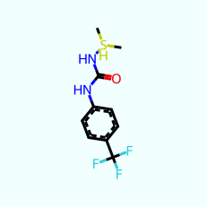 C[SH](C)NC(=O)Nc1ccc(C(F)(F)F)cc1